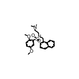 COc1ccc(OC)c(S(=O)(=O)N(CCN(C)C)Cc2cccc3ccccc23)c1